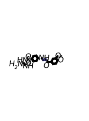 N=C(N)NS(=O)(=O)c1ccc(N/C=C/C(=O)c2ccc3c(c2)OCO3)cc1